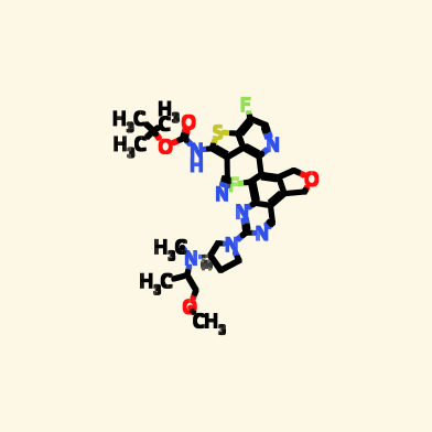 COCC(C)N(C)[C@H]1CCN(c2ncc3c4c(c(-c5ncc(F)c6sc(NC(=O)OC(C)(C)C)c(C#N)c56)c(F)c3n2)COC4)C1